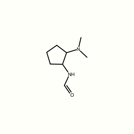 CN(C)C1CCCC1NC=O